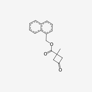 CC1(C(=O)OCc2cccc3ccccc23)CC(=O)C1